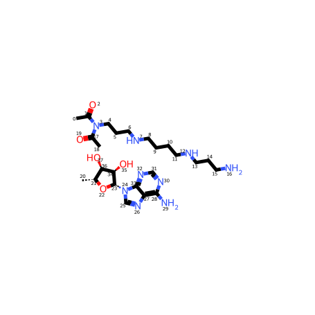 CC(=O)N(CCCNCCCCNCCCN)C(C)=O.C[C@H]1O[C@@H](n2cnc3c(N)ncnc32)[C@H](O)[C@@H]1O